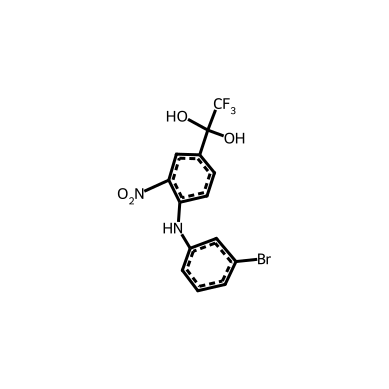 O=[N+]([O-])c1cc(C(O)(O)C(F)(F)F)ccc1Nc1cccc(Br)c1